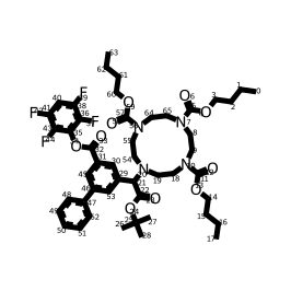 CCCCOC(=O)N1CCN(C(=O)OCCCC)CCN(C(C(=O)OC(C)(C)C)c2cc(C(=O)Oc3c(F)c(F)cc(F)c3F)cc(-c3ccccc3)c2)CCN(C(=O)OCCCC)CC1